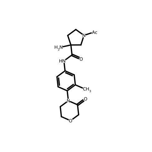 CC(=O)N1CCC(N)(C(=O)Nc2ccc(N3CCOCC3=O)c(C)c2)C1